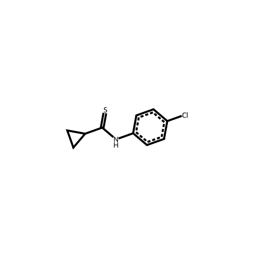 S=C(Nc1ccc(Cl)cc1)C1CC1